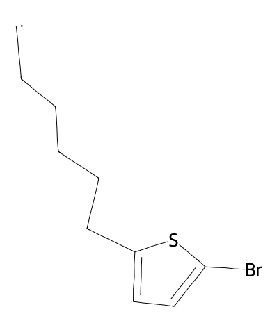 [CH2]CCCCCc1ccc(Br)s1